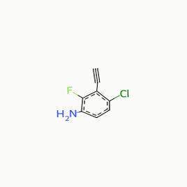 C#Cc1c(Cl)ccc(N)c1F